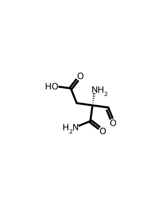 NC(=O)[C@](N)(C=O)CC(=O)O